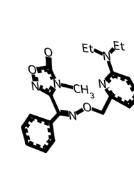 CCN(CC)c1cccc(CON=C(c2ccccc2)c2noc(=O)n2C)n1